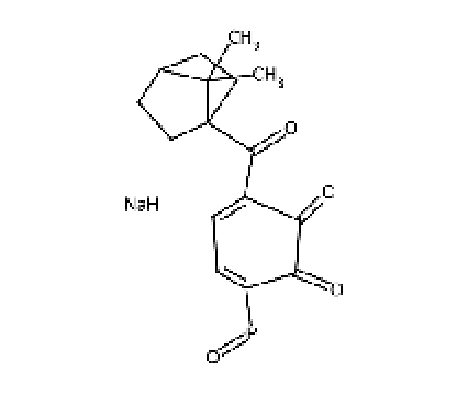 CC1(C)C2CCC1(C(=O)C1=CC=C(P=O)C(=O)C1=O)CC2.[NaH]